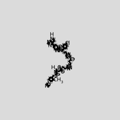 Cc1cc(-n2ccnc2)ccc1CSc1nnc(C(=O)N(C)CCc2cn(CCC(=O)N3CCN(CC[C@H](NC(=O)C4(N)CCN(c5ncnc6[nH]ccc56)CC4)c4ccc(Cl)cc4)CC3)nn2)s1